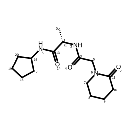 C[C@H](NC(=O)CN1CCCCC1=O)C(=O)NC1CCCC1